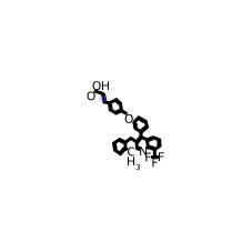 Cc1ccccc1Cc1cnc2c(C(F)(F)F)cccc2c1-c1cccc(OCc2ccc(/C=C/C(=O)O)cc2)c1